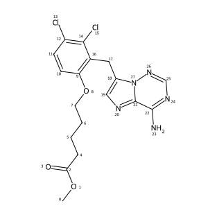 COC(=O)CCCCOc1ccc(Cl)c(Cl)c1Cc1cnc2c(N)ncnn12